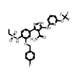 CCS(=O)(=O)Nc1ccc(-c2n[nH]c(Nc3cccc(OC(F)(F)F)n3)c2C(N)=O)cc1OCc1ccc(F)cc1